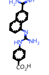 N=C(N)c1ccc2c(N=C(N)Nc3ccc(C(=O)O)cc3)cccc2c1